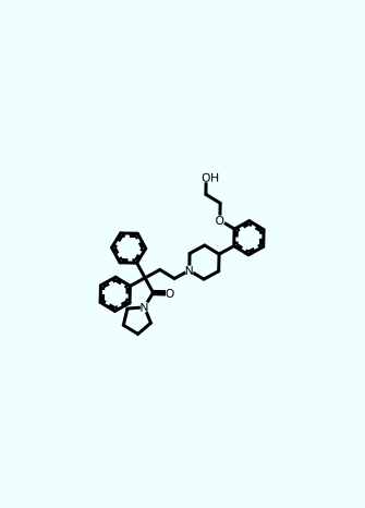 O=C(N1CCCC1)C(CCN1CCC(c2ccccc2OCCO)CC1)(c1ccccc1)c1ccccc1